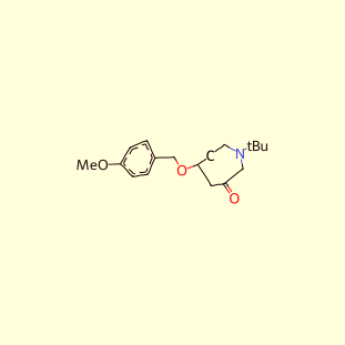 COc1ccc(COC2CCN(C(C)(C)C)CC(=O)C2)cc1